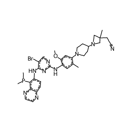 COc1cc(N2CCC(N3CC(C)(CC#N)C3)CC2)c(C)cc1Nc1ncc(Br)c(Nc2ccc3nccnc3c2P(C)C)n1